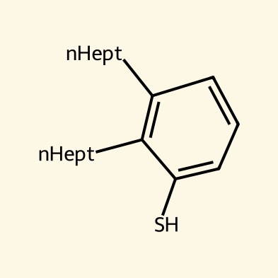 CCCCCCCc1cccc(S)c1CCCCCCC